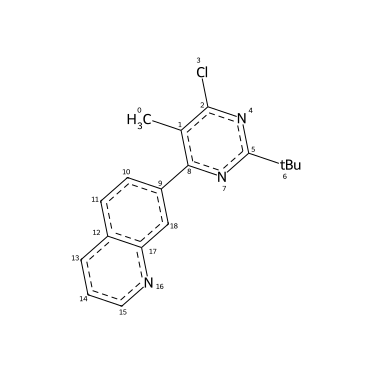 Cc1c(Cl)nc(C(C)(C)C)nc1-c1ccc2cccnc2c1